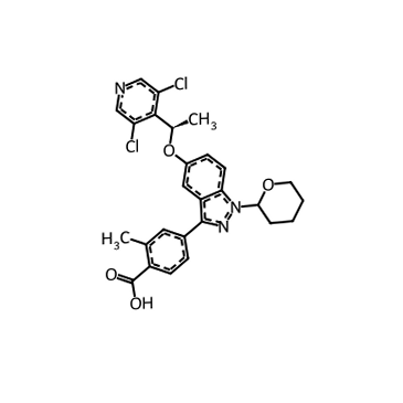 Cc1cc(-c2nn(C3CCCCO3)c3ccc(O[C@H](C)c4c(Cl)cncc4Cl)cc23)ccc1C(=O)O